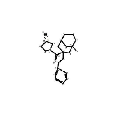 C[C@@]12CCCC(CC(CCc3ccccc3)(C(=O)N3CC[C@H](N)C3)C1)C2